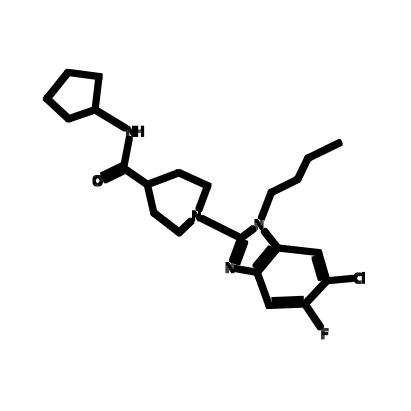 CCCCn1c(N2CCC(C(=O)NC3CCCC3)CC2)nc2cc(F)c(Cl)cc21